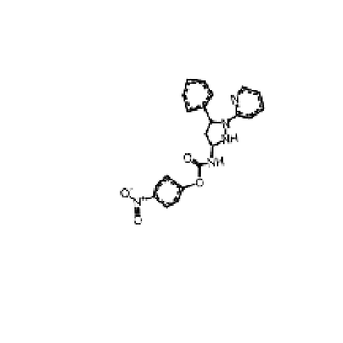 O=C(NC1CC(c2ccccc2)N(c2ccccn2)N1)Oc1ccc([N+](=O)[O-])cc1